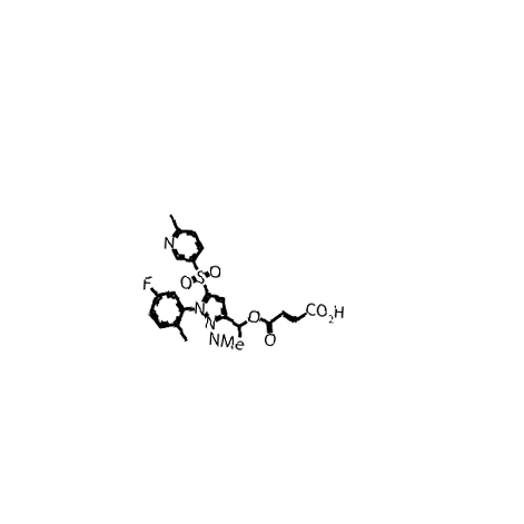 CNC(OC(=O)/C=C/C(=O)O)c1cc(S(=O)(=O)c2ccc(C)nc2)n(-c2cc(F)ccc2C)n1